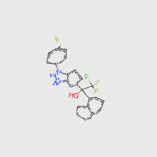 OC(c1ccc2c(c1)nnn2-c1ccc(F)cc1)(c1cccc2ccccc12)C(F)(F)F